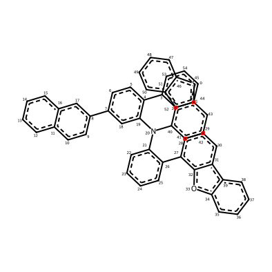 c1ccc(-c2ccc(-c3ccc4ccccc4c3)cc2N(c2ccccc2-c2cccc3c2oc2ccccc23)c2cccc3sc4ccccc4c23)cc1